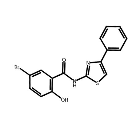 O=C(Nc1nc(-c2ccccc2)cs1)c1cc(Br)ccc1O